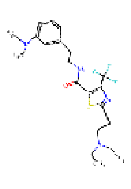 CCN(CC)CCc1nc(C(F)(F)F)c(C(=O)NCCc2cccc(N(C)C)c2)s1